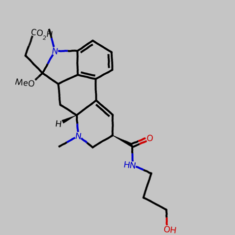 COC1(CC(=O)O)C2C[C@@H]3C(=C[C@@H](C(=O)NCCCO)CN3C)c3cccc(c32)N1C